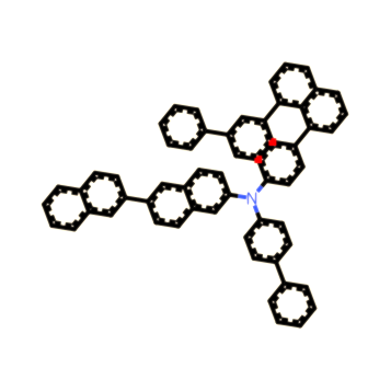 c1ccc(-c2ccc(N(c3ccc(-c4cccc5cccc(-c6cccc(-c7ccccc7)c6)c45)cc3)c3ccc4cc(-c5ccc6ccccc6c5)ccc4c3)cc2)cc1